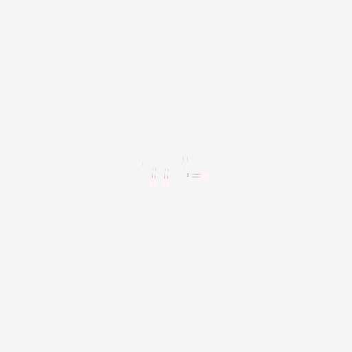 C=O.C=O.CC(C)=O